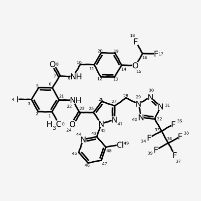 Cc1cc(I)cc(C(=O)NCc2ccc(OC(F)F)cc2)c1NC(=O)c1cc(Cn2nnc(C(F)(F)C(F)(F)F)n2)nn1-c1ncccc1Cl